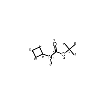 CN(C(=O)OC(C)(C)C)C1C[CH]C1